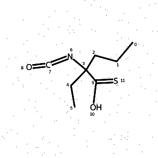 CCCC(CC)(N=C=O)C(O)=S